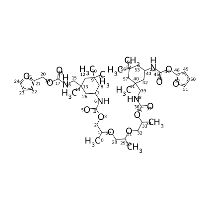 CC(COC(=O)NC1CC(C)(C)CC(C)(CNC(=O)OCc2ccco2)C1)OCC(C)OCC(C)OC(=O)NCC1(C)CC(NC(=O)Oc2ccco2)CC(C)(C)C1